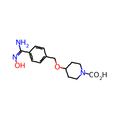 N/C(=N/O)c1ccc(COC2CCN(C(=O)O)CC2)cc1